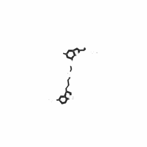 COC(=O)c1cc2cc(Br)cc(OCCNCCCCc3c[nH]c4ccc(C#N)cc34)c2o1